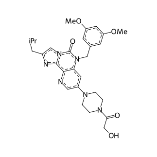 COc1cc(Cn2c(=O)n3cc(CC(C)C)nc3c3ncc(N4CCN(C(=O)CO)CC4)cc32)cc(OC)c1